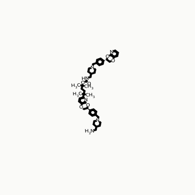 CC(C)(CCC(C)(C)c1ccc2c(n1)O[C@@H](c1ccc(CN3CCC(CN)CC3)cc1)CO2)OC(=O)NCC1CCN(Cc2ccc([C@H]3COc4cccnc4O3)cc2)CC1